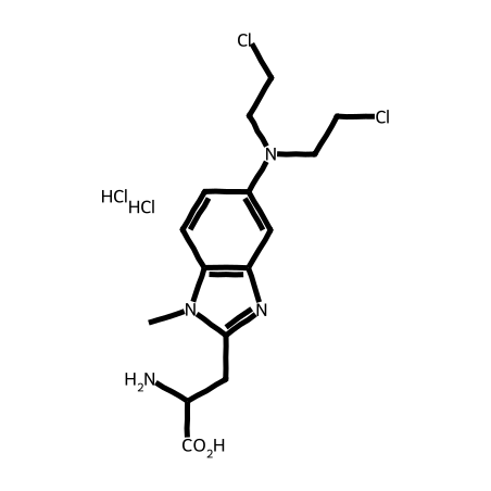 Cl.Cl.Cn1c(CC(N)C(=O)O)nc2cc(N(CCCl)CCCl)ccc21